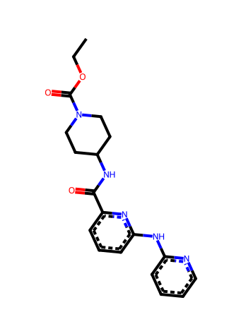 CCOC(=O)N1CCC(NC(=O)c2cccc(Nc3ccccn3)n2)CC1